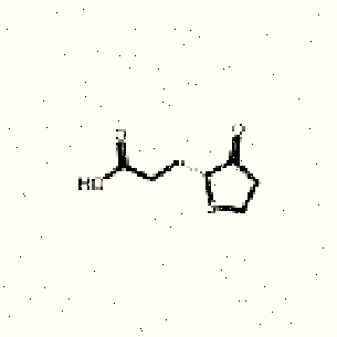 O=C(O)CC[C@H]1SCCC1=O